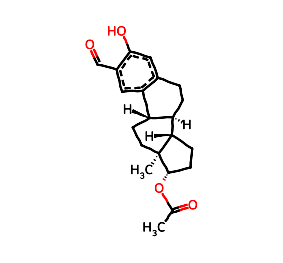 CC(=O)O[C@H]1CC[C@H]2[C@@H]3CCc4cc(O)c(C=O)cc4[C@H]3CC[C@]12C